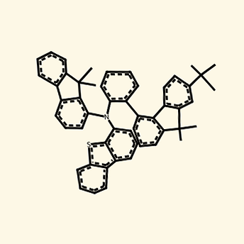 CC(C)(C)c1ccc2c(c1)C(C)(C)c1cccc(-c3ccccc3N(c3cccc4c3C(C)(C)c3ccccc3-4)c3cccc4c3sc3ccccc34)c1-2